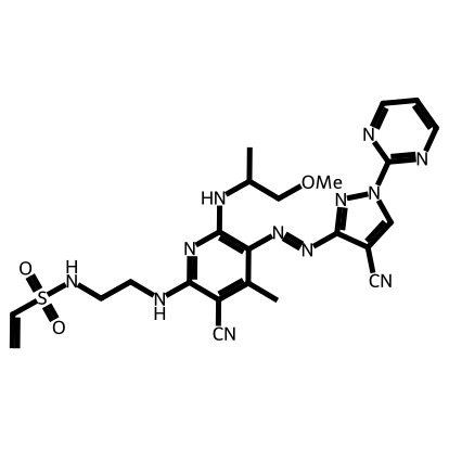 C=CS(=O)(=O)NCCNc1nc(NC(C)COC)c(N=Nc2nn(-c3ncccn3)cc2C#N)c(C)c1C#N